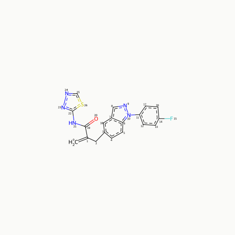 C=C(Cc1ccc2c(cnn2-c2ccc(F)cc2)c1)C(=O)Nc1nncs1